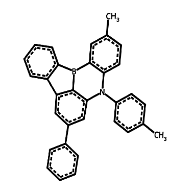 Cc1ccc(N2c3ccc(C)cc3B3c4ccccc4-c4cc(-c5ccccc5)cc2c43)cc1